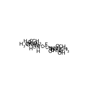 COC(=O)N[C@H](C(=O)N1CCC[C@H]1c1ncc(-c2ccc(-c3ccc(N4C[C@H](CNC(=O)[C@@H](NC(=O)O)C(C)C)OC4=O)cc3F)cc2)[nH]1)C(C)C